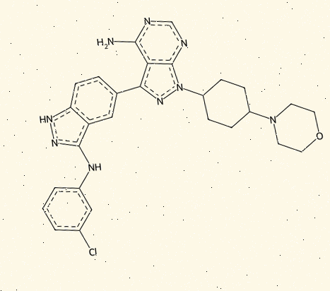 Nc1ncnc2c1c(-c1ccc3[nH]nc(Nc4cccc(Cl)c4)c3c1)nn2C1CCC(N2CCOCC2)CC1